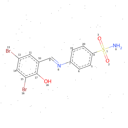 NS(=O)(=O)c1ccc(N=Cc2cc(Br)cc(Br)c2O)cc1